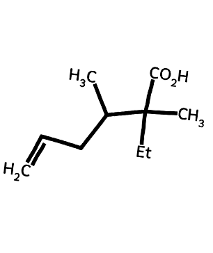 C=CCC(C)C(C)(CC)C(=O)O